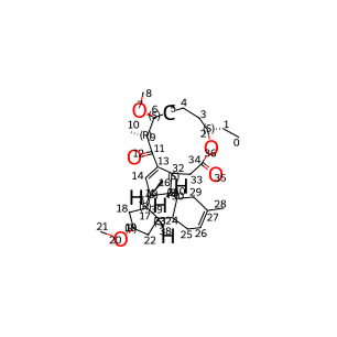 CC[C@H]1CCC[C@H](OC)[C@@H](C)C(=O)C2=C[C@@]3(C)[C@@H]4C[C@H](OC)C[C@H]4C4CC=C(C)CC4[C@H]3[C@@H]2CC(=O)O1